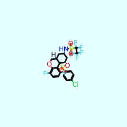 O=S(=O)(N[C@@H]1CC[C@@]2(S(=O)(=O)c3ccc(Cl)cc3)c3c(F)ccc(F)c3OC[C@H]2C1)C(F)(F)C(F)(F)F